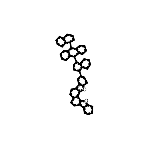 c1ccc2c(-c3c4ccccc4c(-c4ccc(-c5ccc6oc7c(ccc8ccc9c%10ccccc%10oc9c87)c6c5)c5ccccc45)c4ccccc34)cccc2c1